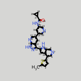 Cc1ccc(-c2cncc3[nH]c(-c4n[nH]c5ncc(-c6cncc(NC(=O)C7CC7)c6)cc45)cc23)s1